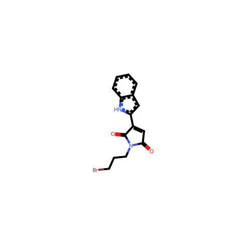 O=C1C=C(c2cc3ccccc3[nH]2)C(=O)N1CCCBr